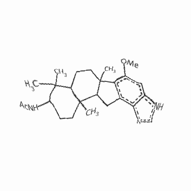 COc1cc2[nH]cnc2c2c1C1(C)CCC3C(C)(C)C(NC(C)=O)CCC3(C)C1C2